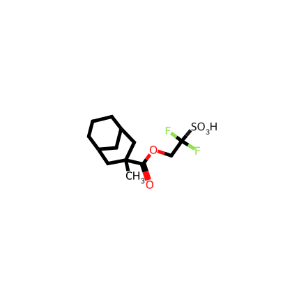 CC1(C(=O)OCC(F)(F)S(=O)(=O)O)CC2CCCC(C2)C1